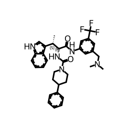 C[C@@H](c1c[nH]c2ccccc12)[C@@H](NC(=O)N1CCC(c2ccccc2)CC1)C(=O)Nc1cc(CN(C)C)cc(C(F)(F)F)c1